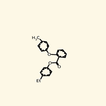 CCc1ccc(OC(=O)c2ccccc2Oc2ccc(C)cc2)cc1